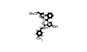 COCc1cn(-c2ccccc2C(=O)N2C[C@H](O)C[C@H]2C(=O)NCc2ccc(C)cc2)nn1